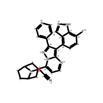 N#CCN1C2CCC1CC(c1ccnc3c(-c4ccc(F)c5[nH]ncc45)c(-c4ccncc4)nn13)C2